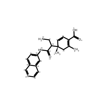 CC1=C(C(=O)O)C=C[C@@](C)(C(CN)C(=O)Nc2ccc3cnccc3c2)C1